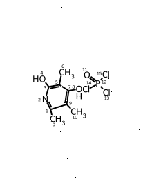 Cc1nc(O)c(C)c(O)c1C.O=P(Cl)(Cl)Cl